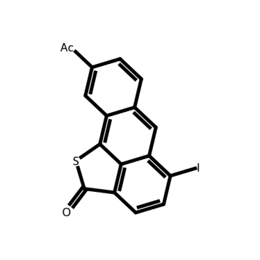 CC(=O)c1ccc2cc3c(I)ccc4c3c(c2c1)SC4=O